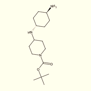 CC(C)(C)OC(=O)N1CCC(N[C@H]2CC[C@H](N)CC2)CC1